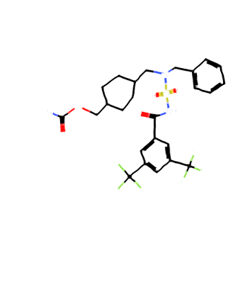 NC(=O)OCC1CCC(CN(Cc2ccccc2)S(=O)(=O)NC(=O)c2cc(C(F)(F)F)cc(C(F)(F)F)c2)CC1